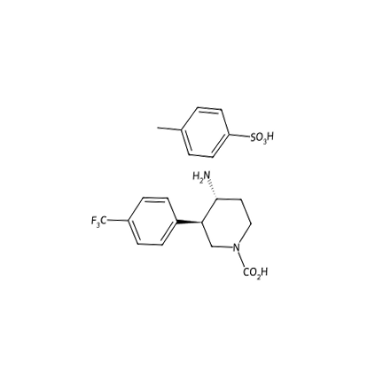 Cc1ccc(S(=O)(=O)O)cc1.N[C@@H]1CCN(C(=O)O)C[C@H]1c1ccc(C(F)(F)F)cc1